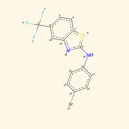 FC(F)(F)c1ccc2sc(Nc3ccc(Br)cc3)nc2c1